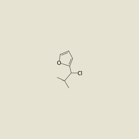 C[C](C)C(Cl)c1ccco1